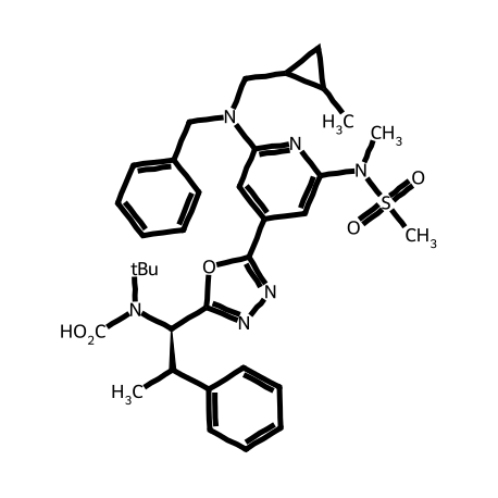 CC1CC1CN(Cc1ccccc1)c1cc(-c2nnc([C@@H](C(C)c3ccccc3)N(C(=O)O)C(C)(C)C)o2)cc(N(C)S(C)(=O)=O)n1